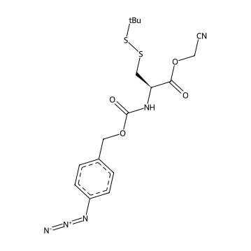 CC(C)(C)SSC[C@H](NC(=O)OCc1ccc(N=[N+]=[N-])cc1)C(=O)OCC#N